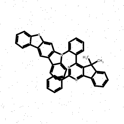 CC1(C)c2ccccc2-c2nc(-c3ccccc3)nc(-c3ccccc3-n3c4ccccc4c4cc5c(cc43)sc3ccccc35)c21